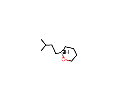 CC(C)CC[SiH]1CCCCO1